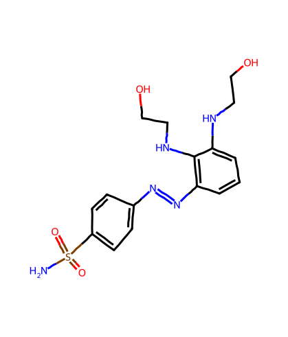 NS(=O)(=O)c1ccc(N=Nc2cccc(NCCO)c2NCCO)cc1